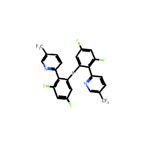 Fc1cc(F)c(-c2ccc(C(F)(F)F)cn2)[c]([Ir-][c]2cc(F)cc(F)c2-c2ccc(C(F)(F)F)cn2)c1